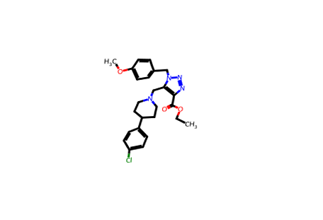 CCOC(=O)c1nnn(Cc2ccc(OC)cc2)c1CN1CCC(c2ccc(Cl)cc2)CC1